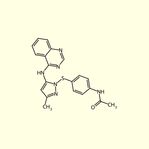 CC(=O)Nc1ccc(Sn2nc(C)cc2Nc2ncnc3ccccc23)cc1